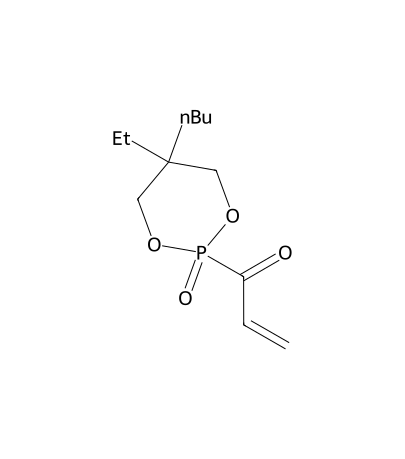 C=CC(=O)P1(=O)OCC(CC)(CCCC)CO1